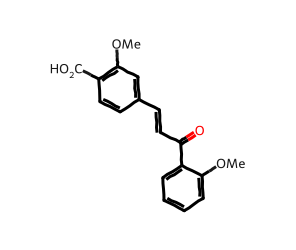 COc1cc(C=CC(=O)c2ccccc2OC)ccc1C(=O)O